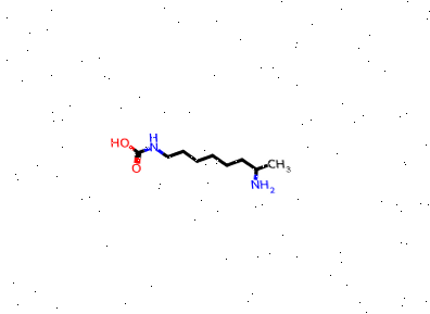 CC(N)CCCCCCNC(=O)O